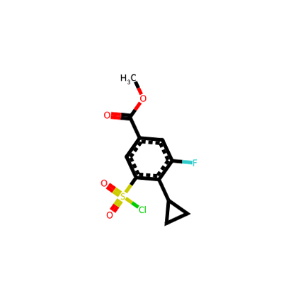 COC(=O)c1cc(F)c(C2CC2)c(S(=O)(=O)Cl)c1